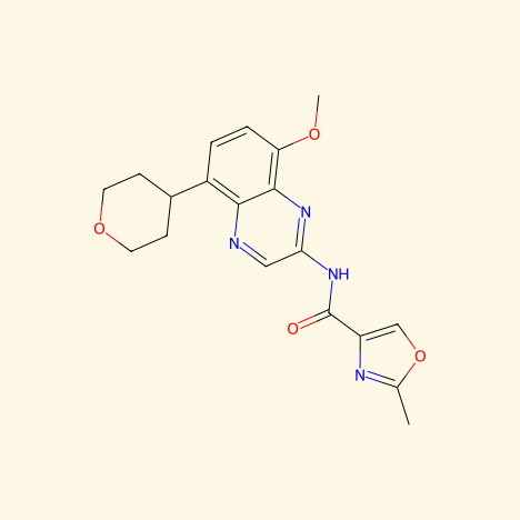 COc1ccc(C2CCOCC2)c2ncc(NC(=O)c3coc(C)n3)nc12